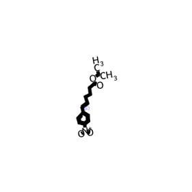 CC(C)OC(=O)CCC/C=C/c1ccc([N+](=O)[O-])cc1